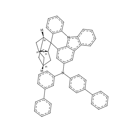 c1ccc(-c2ccc(N(c3cccc(-c4ccccc4)c3)c3cc4c5c(c3)c3ccccc3n5-c3ccccc3C43[C@@H]4C[C@@H]5C[C@@]6(C4)C[C@]36C5)cc2)cc1